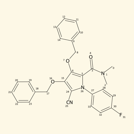 CN(C)C(=O)c1c(OCc2ccccc2)c(OCc2ccccc2)c(C#N)n1-c1ccc(F)cc1